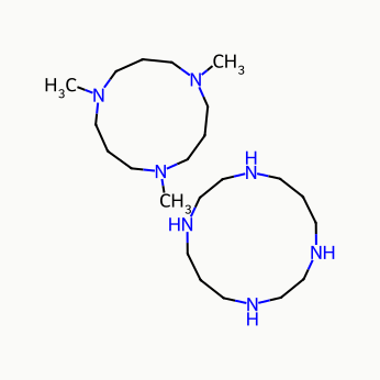 C1CNCCNCCCNCCNC1.CN1CCCN(C)CCCN(C)CCC1